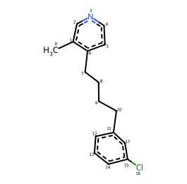 Cc1cnccc1CCCCc1cccc(Cl)c1